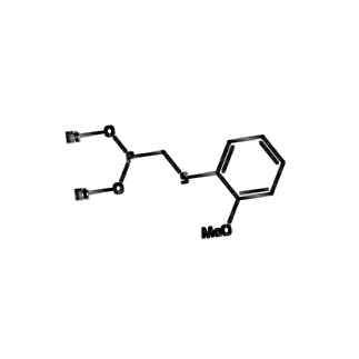 CCOP(CSc1ccccc1OC)OCC